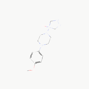 COc1ccc(N2CCN([N+]3([O-])CNNC3)CC2)cc1